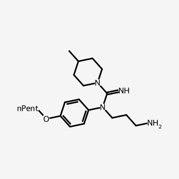 CCCCCOc1ccc(N(CCCN)C(=N)N2CCC(C)CC2)cc1